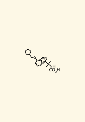 CC(C)(NC(=O)O)c1ncc2c(SCC3CCCC3)cccn12